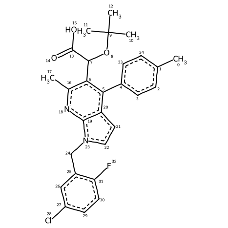 Cc1ccc(-c2c(C(OC(C)(C)C)C(=O)O)c(C)nc3c2ccn3Cc2cc(Cl)ccc2F)cc1